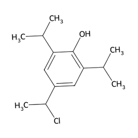 CC(C)c1cc(C(C)Cl)cc(C(C)C)c1O